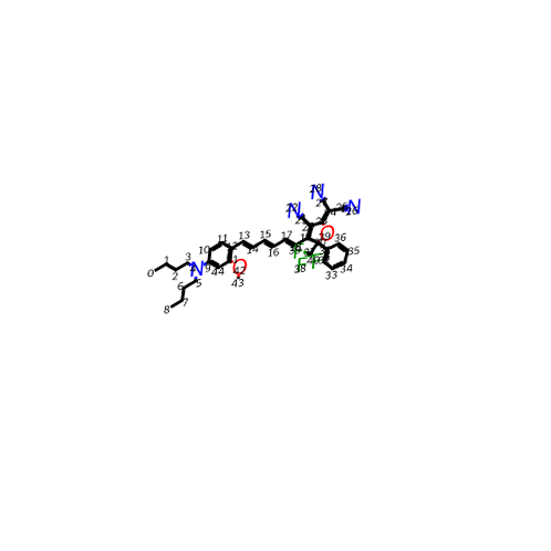 CCCCN(CCCC)c1ccc(C=CC=CC=CC2=C(C#N)C(=C(C#N)C#N)OC2(c2ccccc2)C(F)(F)F)c(OC)c1